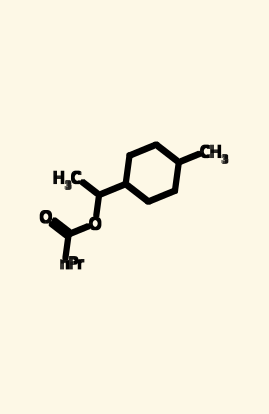 CCCC(=O)OC(C)C1CCC(C)CC1